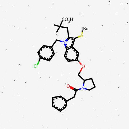 CC(C)(C)Sc1c(CC(C)(C)C(=O)O)n(Cc2ccc(Cl)cc2)c2ccc(OCC3CCCN3C(=O)Cc3ccccc3)cc12